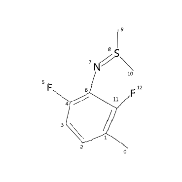 Cc1ccc(F)c(N=S(C)C)c1F